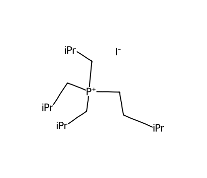 CC(C)CC[P+](CC(C)C)(CC(C)C)CC(C)C.[I-]